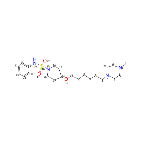 CN1CCN(CCCCCCOC2CCN(S(=O)(=O)Nc3ccccc3)CC2)CC1